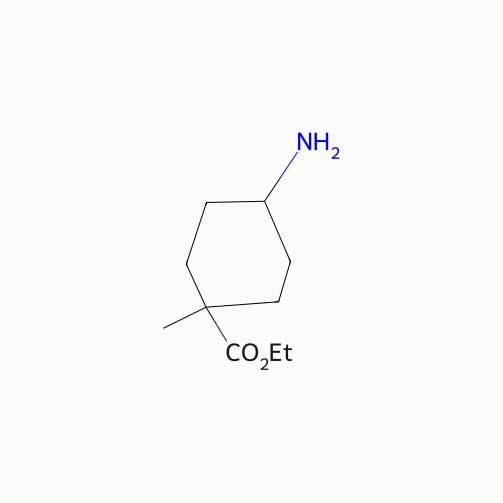 CCOC(=O)C1(C)CCC(N)CC1